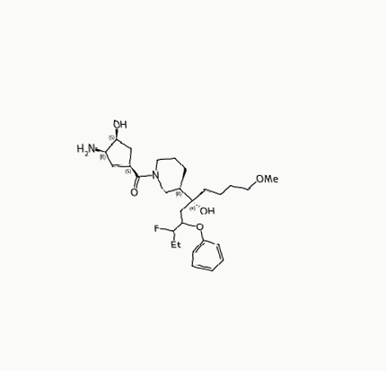 CCC(F)C(C[C@](O)(CCCCOC)[C@@H]1CCCN(C(=O)[C@H]2C[C@@H](N)[C@@H](O)C2)C1)Oc1ccccc1